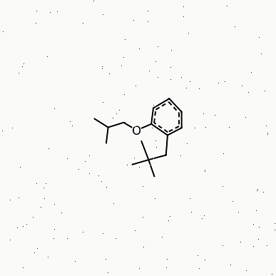 CC(C)COc1ccccc1CC(C)(C)C